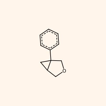 c1ccc(C23COCC2C3)cc1